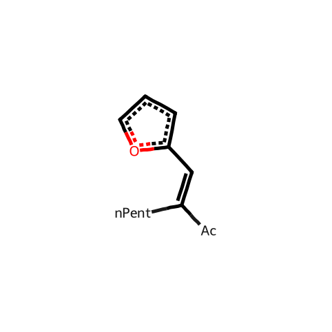 CCCCC/C(=C\c1ccco1)C(C)=O